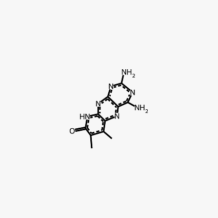 Cc1c(C)c2nc3c(N)nc(N)nc3nc2[nH]c1=O